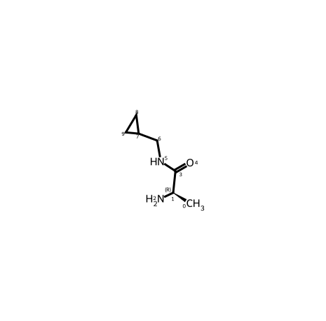 C[C@@H](N)C(=O)NCC1CC1